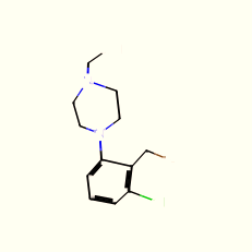 CCN1CCN(c2cccc(Cl)c2CBr)CC1